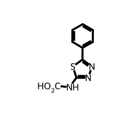 O=C(O)Nc1nnc(-c2ccccc2)s1